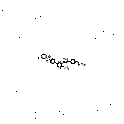 CNCc1ccc(-c2cc(-c3nc(-c4ccc(S(=O)(=O)C5CCCNC5)cc4)cnc3N)on2)cc1